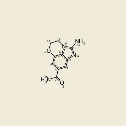 NC(=O)c1cc2c3c(c1)nc(N)n3CCO2